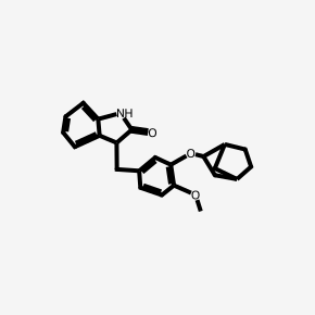 COc1ccc(CC2C(=O)Nc3ccccc32)cc1OC1CC2CCC1C2